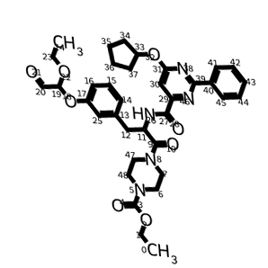 CCOC(=O)N1CCN(C(=O)C(Cc2cccc(OC(C=O)OCC)c2)NC(=O)c2cc(OC3CCCC3)nc(-c3ccccc3)n2)CC1